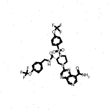 NC(=O)c1cncc2ncc(N3CCN(S(=O)(=O)c4ccc(OC(F)(F)F)cc4)[C@@H](C(=O)NCc4ccc(OC(F)(F)F)cc4)C3)nc12